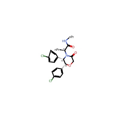 CCCNC(=O)[C@H](CCC)N1C(=O)CO[C@H](c2ccc(Cl)cc2)[C@@H]1c1ccc(Cl)cc1